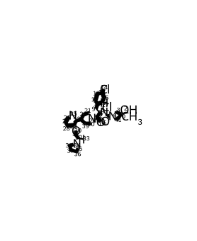 CC1(O)CN(C(=O)N[C@H](Cc2ccc(Cl)cc2Cl)C(=O)N2CCC(c3ncccc3OC[C@@H](I)N3CCCC3)CC2)C1